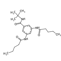 CCCCC(=O)Nc1cc(NC(=O)CCCC)cc(C(=O)NC(C)(C)C)c1